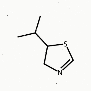 CC(C)C1CN=CS1